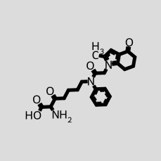 Cc1cc2c(n1CC(=O)N(CCCCC(=O)C(N)C(=O)O)c1ccccc1)CCCC2=O